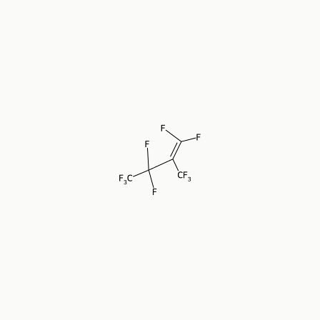 FC(F)=C(C(F)(F)F)C(F)(F)C(F)(F)F